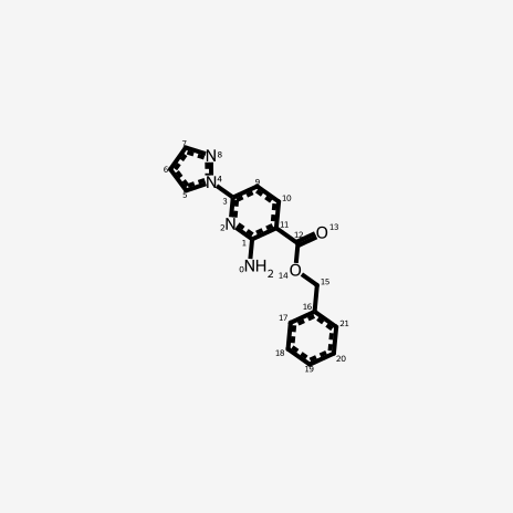 Nc1nc(-n2cccn2)ccc1C(=O)OCc1ccccc1